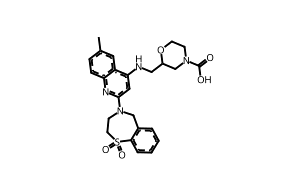 Cc1ccc2nc(N3CCS(=O)(=O)c4ccccc4C3)cc(NCC3CN(C(=O)O)CCO3)c2c1